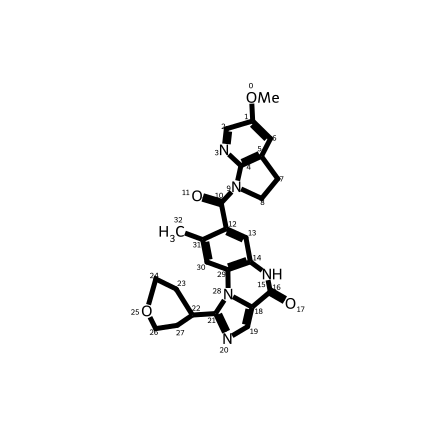 COc1cnc2c(c1)CCN2C(=O)c1cc2[nH]c(=O)c3cnc(C4CCOCC4)n3c2cc1C